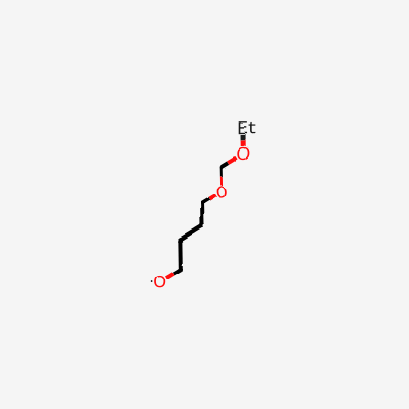 CCOCOCCCC[O]